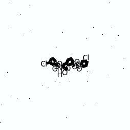 O=c1oc2c(OS(=O)(=O)c3cccc(Cl)c3)cccc2cc1NS(=O)(=O)c1cccc(Cl)c1